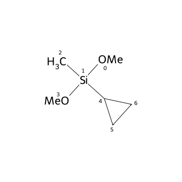 CO[Si](C)(OC)C1CC1